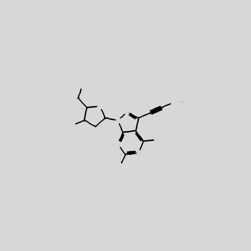 COC#Cc1nn(C2CC(O)C(CO)O2)c2nc(N)nc(N)c12